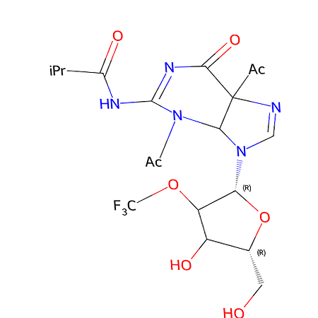 CC(=O)N1C(NC(=O)C(C)C)=NC(=O)C2(C(C)=O)N=CN([C@@H]3O[C@H](CO)C(O)C3OC(F)(F)F)C12